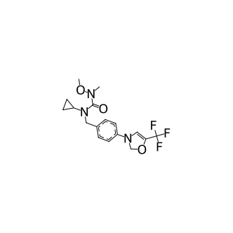 CON(C)C(=O)N(Cc1ccc(N2C=C(C(F)(F)F)OC2)cc1)C1CC1